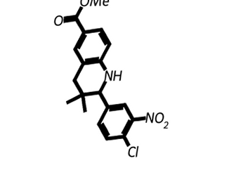 COC(=O)c1ccc2c(c1)CC(C)(C)C(c1ccc(Cl)c([N+](=O)[O-])c1)N2